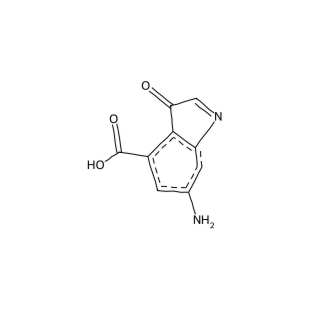 Nc1cc2c(c(C(=O)O)c1)C(=O)C=N2